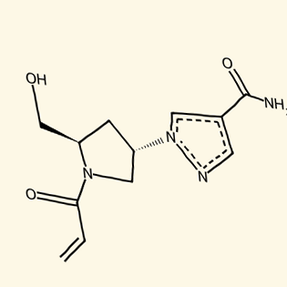 C=CC(=O)N1C[C@@H](n2cc(C(N)=O)cn2)C[C@@H]1CO